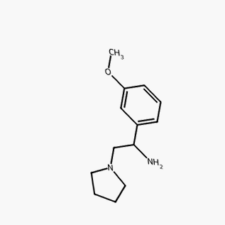 COc1cccc(C(N)CN2CCCC2)c1